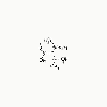 CNC(C(=O)O)C(C)O.Cl